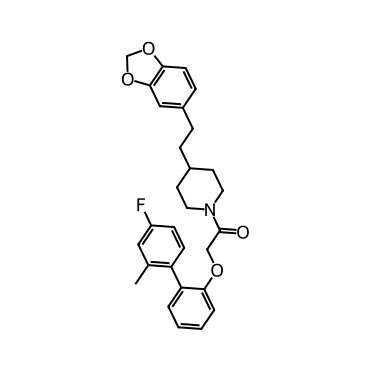 Cc1cc(F)ccc1-c1ccccc1OCC(=O)N1CCC(CCc2ccc3c(c2)OCO3)CC1